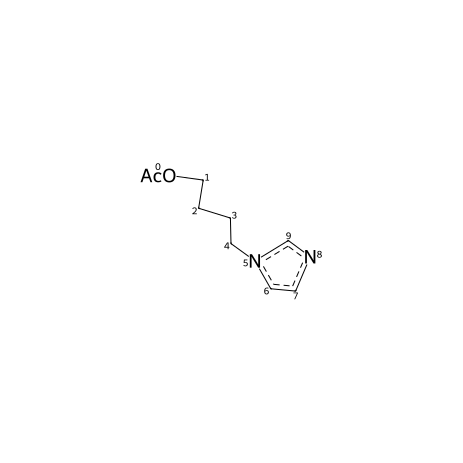 CC(=O)OCCCCn1ccnc1